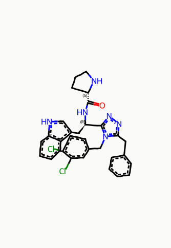 O=C(N[C@H](Cc1c[nH]c2ccccc12)c1nnc(Cc2ccccc2)n1Cc1ccc(Cl)c(Cl)c1)[C@@H]1CCCN1